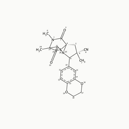 CN1C(=O)[C@@]23C[C@](C)(C#N)C(c4ccc5c(c4)OCCO5)N2C(=O)C1(C)SS3